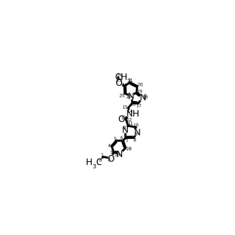 CCOc1ccc(-c2cncc(C(=O)NCc3cnc4ccc(OC)cn34)n2)cn1